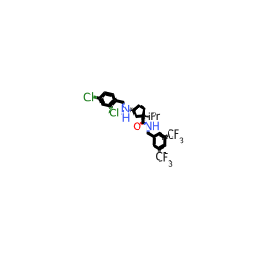 CC(C)[C@]1(C(=O)NCc2cc(C(F)(F)F)cc(C(F)(F)F)c2)CC[C@@H](NCc2ccc(Cl)cc2Cl)C1